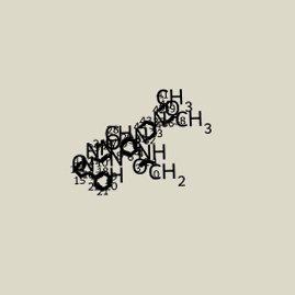 C=CC(=O)Nc1cc(Nc2cc(N3OCCC3c3ccccc3)ncn2)c(OC)cc1N1CCC(N2C[C@@H](C)O[C@@H](C)C2)CC1